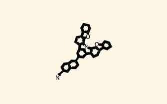 N#Cc1ccc2cc(-c3cc4c5ccc6c7ccccc7oc6c5n5c4c(c3)c3ccc4c6ccccc6oc4c35)ccc2c1